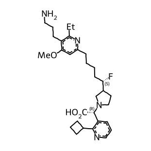 CCc1nc(CCCC[C@H](F)C2CCN([C@@H](C(=O)O)c3cccnc3C3CCC3)C2)cc(OC)c1CCCN